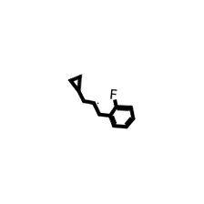 Fc1ccccc1C[CH]CC1CC1